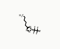 CCCCCc1nnn(C(F)(F)C(F)(F)F)n1